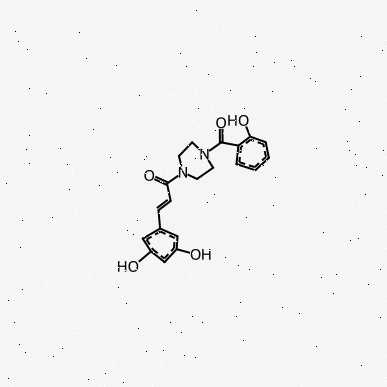 O=C(/C=C/c1cc(O)cc(O)c1)N1CCN(C(=O)c2ccccc2O)CC1